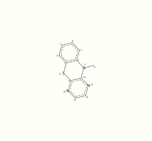 CN1c2ccccc2Sc2nccnc21